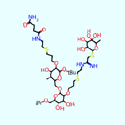 CC(C)OCC1OC(OCC2OC(OC(C)(C)C)C(OCCCSCCNC(=O)CCC(N)=O)C(O)[C@@H]2C)C(OCCCSCCNC(=N)CS[C@@H]2OC(C)C(O)(O)C(O)C2O)C(O)[C@@H]1O